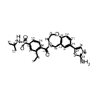 CCc1cc(S(=O)(=O)NC(C)C)ccc1C(=O)N1CCOc2ccc(-c3cnc(N)s3)cc2C1